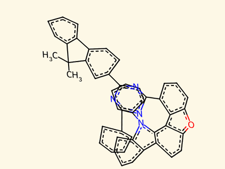 CC1(C)c2ccccc2-c2ccc(-c3nc(-c4ccccc4)nc(-c4cccc5oc6ccc7c8ccccc8n(-c8ccccc8)c7c6c45)n3)cc21